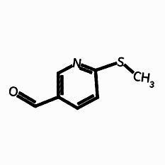 CSc1ccc(C=O)cn1